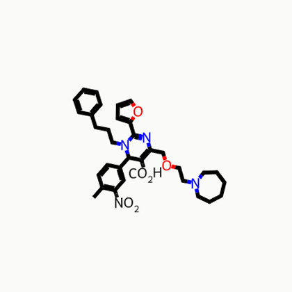 Cc1ccc(C2C(C(=O)O)=C(COCCN3CCCCCC3)N=C(c3ccco3)N2CCCc2ccccc2)cc1[N+](=O)[O-]